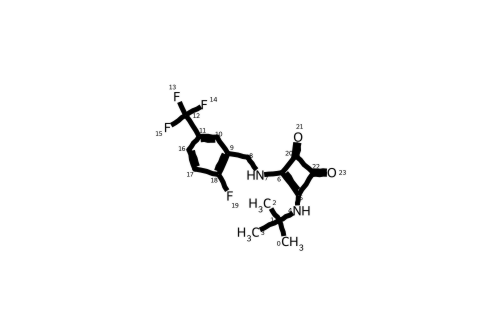 CC(C)(C)Nc1c(NCc2cc(C(F)(F)F)ccc2F)c(=O)c1=O